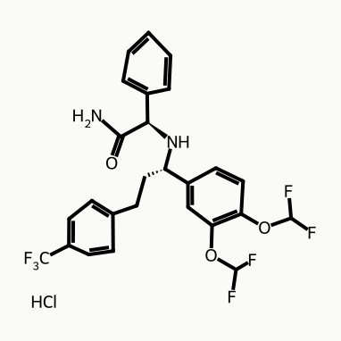 Cl.NC(=O)[C@H](N[C@@H](CCc1ccc(C(F)(F)F)cc1)c1ccc(OC(F)F)c(OC(F)F)c1)c1ccccc1